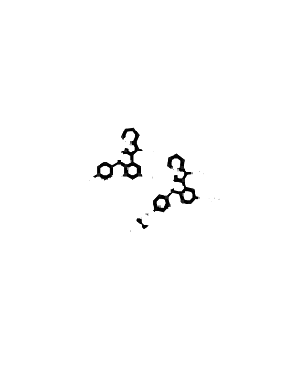 COc1cc(OC)c2c(-c3ccc(B4OC(C)(C)C(C)(C)O4)cc3)nc3c(c(C#N)c4ccccn43)c2c1.COc1cc(OC)c2c(-c3ccc(Br)cc3)nc3c(c(C#N)c4ccccn43)c2c1